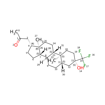 CC(=O)C[C@H]1CC[C@H]2[C@@H]3CC[C@H]4C[C@](O)(C(F)(F)F)CC[C@]4(C)[C@H]3CC[C@]12C